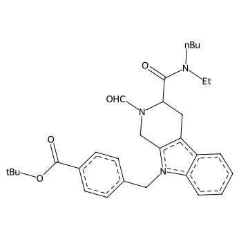 CCCCN(CC)C(=O)C1Cc2c(n(Cc3ccc(C(=O)OC(C)(C)C)cc3)c3ccccc23)CN1C=O